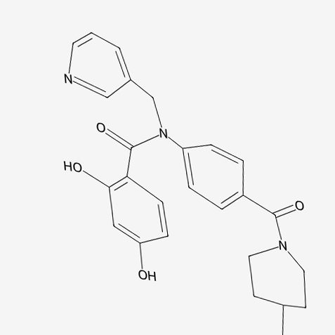 O=C(c1ccc(N(Cc2cccnc2)C(=O)c2ccc(O)cc2O)cc1)N1CCC(O)CC1